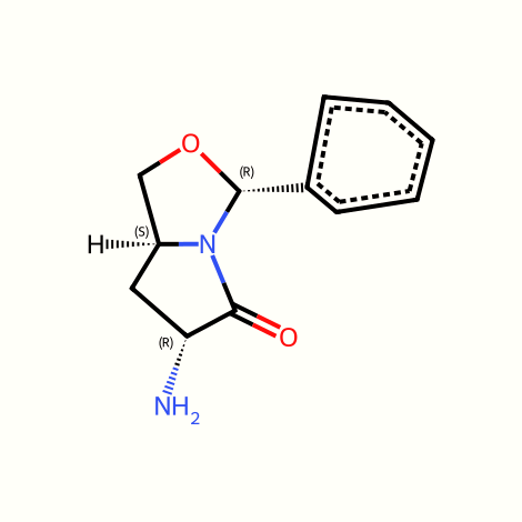 N[C@@H]1C[C@H]2CO[C@H](c3ccccc3)N2C1=O